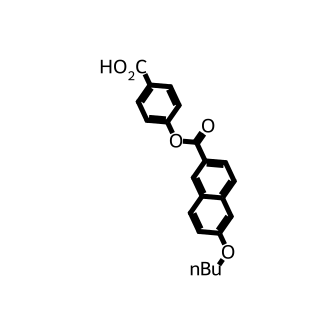 CCCCOc1ccc2cc(C(=O)Oc3ccc(C(=O)O)cc3)ccc2c1